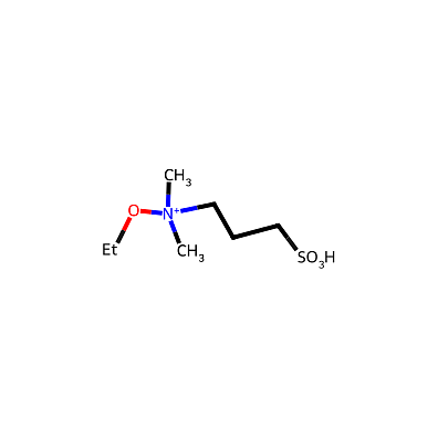 CCO[N+](C)(C)CCCS(=O)(=O)O